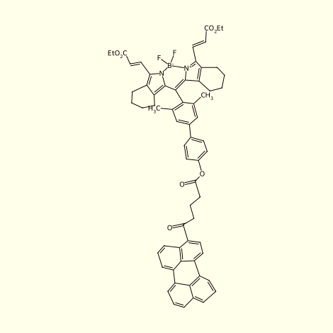 CCOC(=O)/C=C/C1=[N+]2C(=C(c3c(C)cc(-c4ccc(OC(=O)CCCC(=O)c5ccc6c7cccc8cccc(c9cccc5c96)c87)cc4)cc3C)c3c4c(c(/C=C/C(=O)OCC)n3[B-]2(F)F)CCCC4)C2=C1CCCC2